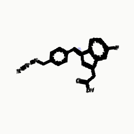 [N-]=[N+]=NCc1ccc(/C=C2\C=C(CC(=O)O)c3cc(F)ccc32)cc1